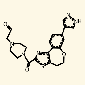 O=CCN1CCN(C(=O)c2nc3c(s2)CCOc2cc(-c4cn[nH]c4)ccc2-3)CC1